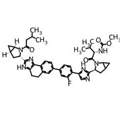 COC(=O)N[C@H](C(=O)N1C2CC2C[C@H]1c1ncc(-c2ccc(-c3ccc4c(c3)CCc3[nH]c([C@@H]5C[C@H]6C[C@H]6N5C(=O)CC(C)C)nc3-4)cc2F)[nH]1)C(C)C